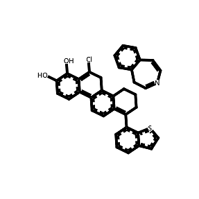 C1=Cc2ccccc2CC=N1.Oc1ccc2c(c1O)=C(Cl)Cc1c3c(ccc1=2)=C(c1cccc2ccsc12)CCC3